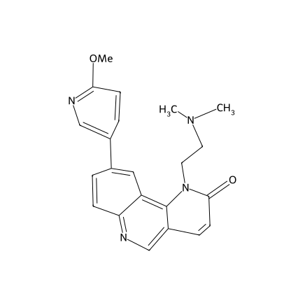 COc1ccc(-c2ccc3ncc4ccc(=O)n(CCN(C)C)c4c3c2)cn1